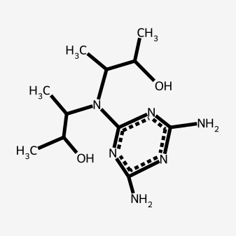 CC(O)C(C)N(c1nc(N)nc(N)n1)C(C)C(C)O